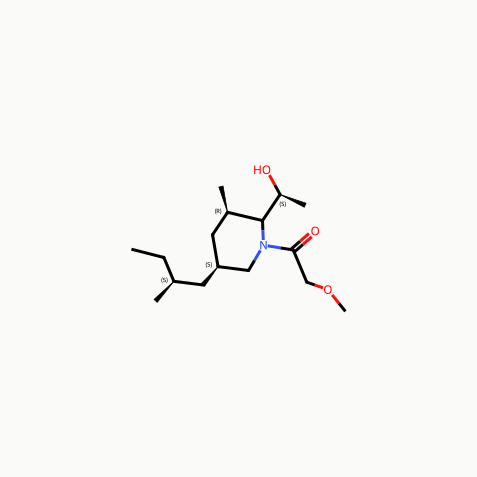 CC[C@H](C)C[C@H]1C[C@@H](C)C([C@H](C)O)N(C(=O)COC)C1